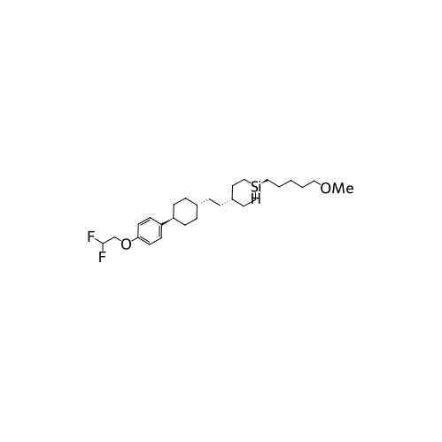 COCCCCC[Si@H]1CC[C@H](CC[C@H]2CC[C@H](c3ccc(OCC(F)F)cc3)CC2)CC1